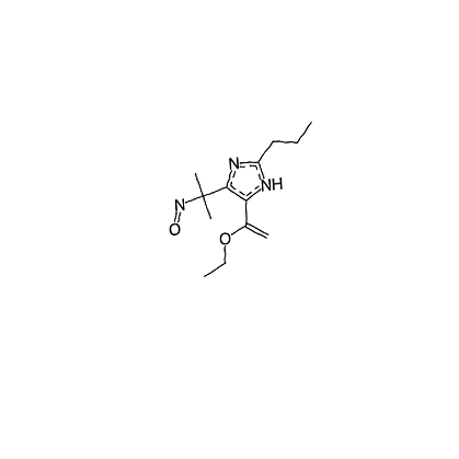 C=C(OCC)c1[nH]c(CCC)nc1C(C)(C)N=O